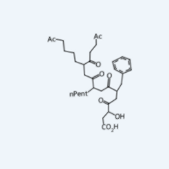 CCCCCC(CC(=O)C(CC(=O)C(O)CC(=O)O)Cc1ccccc1)C(=O)CC(CCCCC(C)=O)C(=O)CCC(C)=O